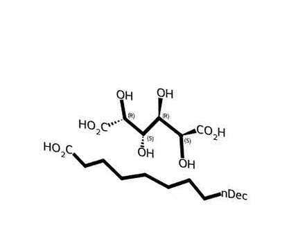 CCCCCCCCCCCCCCCCCC(=O)O.O=C(O)[C@@H](O)[C@H](O)[C@H](O)[C@@H](O)C(=O)O